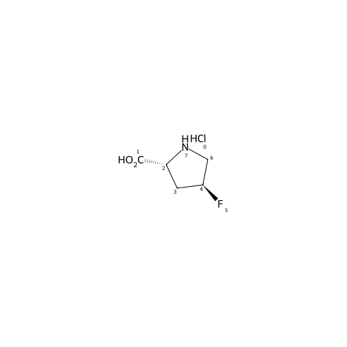 Cl.O=C(O)[C@H]1C[C@H](F)CN1